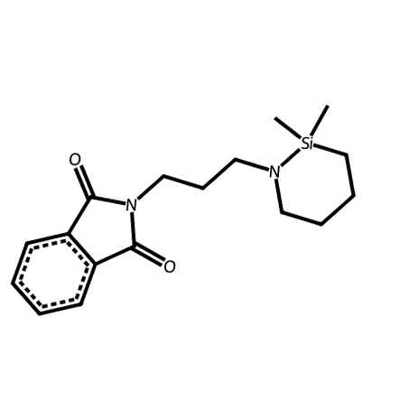 C[Si]1(C)CCCCN1CCCN1C(=O)c2ccccc2C1=O